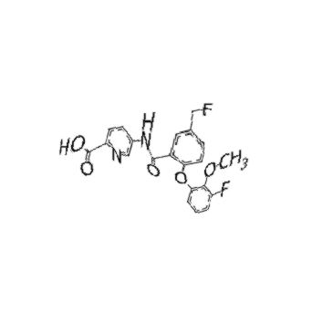 COc1c(F)cccc1Oc1ccc(CF)cc1C(=O)Nc1ccc(C(=O)O)nc1